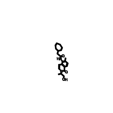 Cc1ccc2c(=O)n(C(C)CO)ccc2c1NC(=O)CC1CCCCCC1